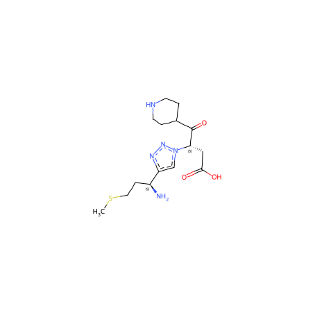 CSCC[C@H](N)c1cn([C@@H](CC(=O)O)C(=O)C2CCNCC2)nn1